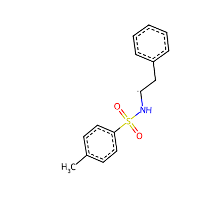 Cc1ccc(S(=O)(=O)N[CH]Cc2ccccc2)cc1